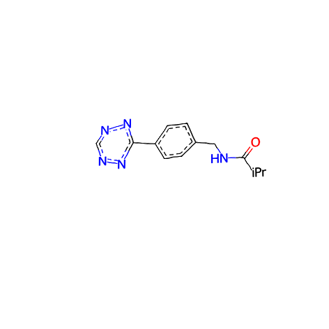 CC(C)C(=O)NCc1ccc(-c2nncnn2)cc1